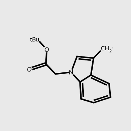 [CH2]c1cn(CC(=O)OC(C)(C)C)c2ccccc12